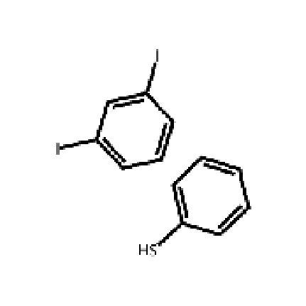 Ic1cccc(I)c1.Sc1ccccc1